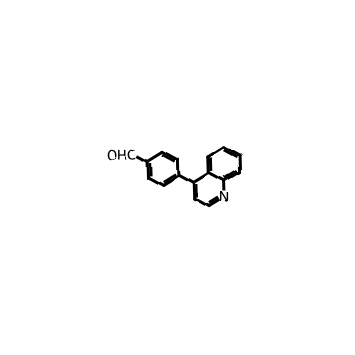 O=Cc1ccc(-c2ccnc3ccccc23)cc1